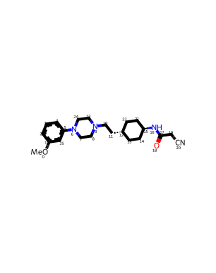 COc1cccc(N2CCN(CC[C@H]3CC[C@H](NC(=O)CC#N)CC3)CC2)c1